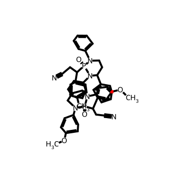 COc1ccc(N2CCCN(c3ccc(OC)cc3)P2(=O)C(CC#N)c2cccc(C3CCN(c4ccccc4)P(=O)(C(CC#N)c4ccc(C)cc4)N3c3ccccc3)c2)cc1